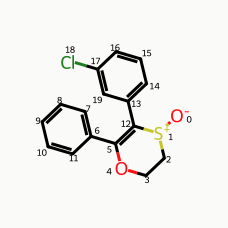 [O-][S+]1CCOC(c2ccccc2)=C1c1cccc(Cl)c1